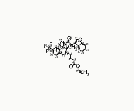 C=C(N(CCCC(=O)OCC)Cc1ccc(C(F)(F)F)cc1)C1(C)CCN1C(=O)Cc1coc2ccccc12